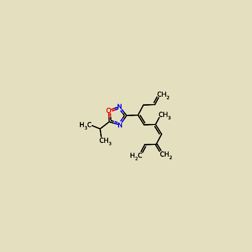 C=CC/C(=C\C(C)=C/C(=C)C=C)c1noc(C(C)C)n1